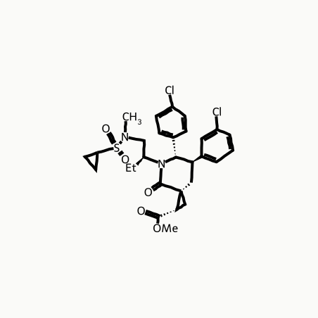 CC[C@@H](CN(C)S(=O)(=O)C1CC1)N1C(=O)[C@@]2(C[C@H](c3cccc(Cl)c3)[C@H]1c1ccc(Cl)cc1)C[C@@H]2C(=O)OC